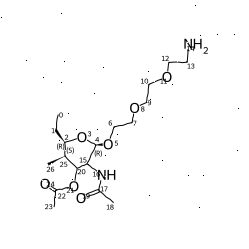 CC[C@H]1O[C@@H](OCCOCCOCCN)C(NC(C)=O)C(OC(C)=O)[C@H]1C